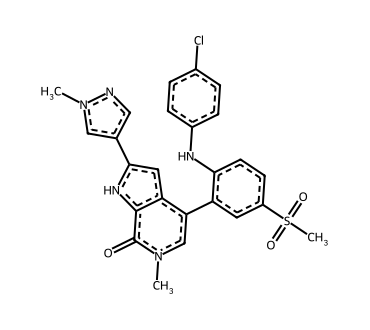 Cn1cc(-c2cc3c(-c4cc(S(C)(=O)=O)ccc4Nc4ccc(Cl)cc4)cn(C)c(=O)c3[nH]2)cn1